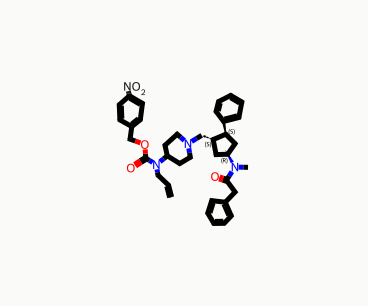 C=CCN(C(=O)OCc1ccc([N+](=O)[O-])cc1)C1CCN(C[C@H]2C[C@H](N(C)C(=O)Cc3ccccc3)C[C@@H]2c2ccccc2)CC1